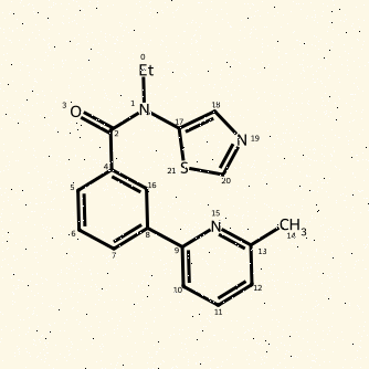 CCN(C(=O)c1cccc(-c2cccc(C)n2)c1)c1cncs1